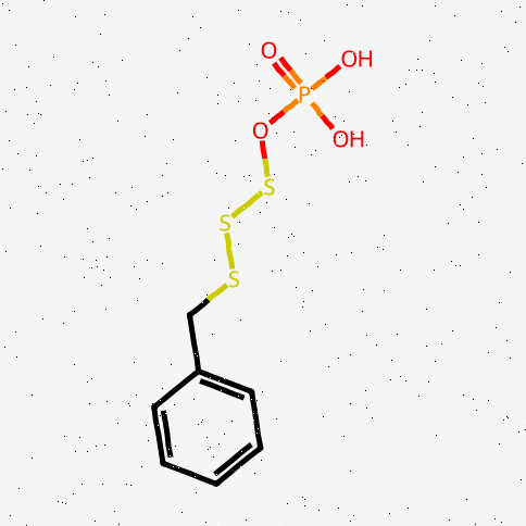 O=P(O)(O)OSSSCc1ccccc1